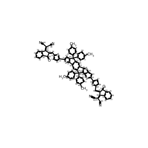 Cc1ccc(C2(c3ccc(C)cc3)c3cc4c(cc3-c3sc(-c5ccc(/C=C6\C(=O)c7ccccc7C6=C(C#N)C#N)s5)cc32)C(c2ccc(C)cc2)(c2ccc(C)cc2)c2c-4sc3cc(-c4ccc(/C=C5\C(=O)c6ccccc6C5=C(C#N)C#N)s4)sc23)cc1